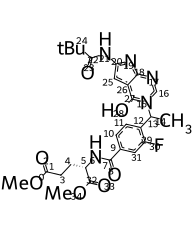 COC(=O)CC[C@H](NC(=O)c1ccc(C(C)n2cnc3nc(NC(=O)C(C)(C)C)cc-3c2O)c(F)c1)C(=O)OC